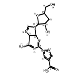 CNC(=O)c1cnn(C2=NC3C(N=CN3C3OC(CO)C[C@H]3O)C(N)=N2)c1